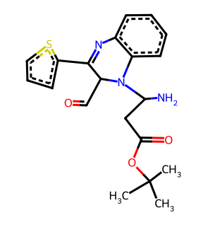 CC(C)(C)OC(=O)CC(N)N1c2ccccc2N=C(c2cccs2)C1C=O